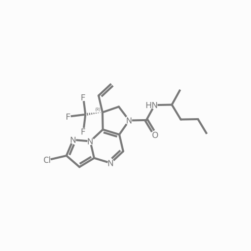 C=C[C@@]1(C(F)(F)F)CN(C(=O)NC(C)CCC)c2cnc3cc(Cl)nn3c21